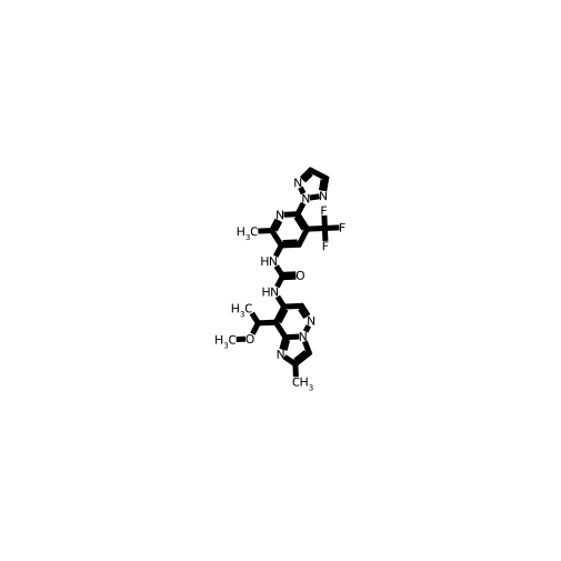 COC(C)c1c(NC(=O)Nc2cc(C(F)(F)F)c(-n3nccn3)nc2C)cnn2cc(C)nc12